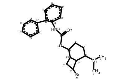 CN(C)C1CCC(OC(=O)Nc2ccccc2-c2ccccc2)C2CC(Br)C21